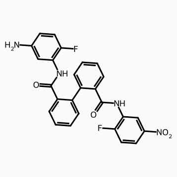 Nc1ccc(F)c(NC(=O)c2ccccc2-c2ccccc2C(=O)Nc2cc([N+](=O)[O-])ccc2F)c1